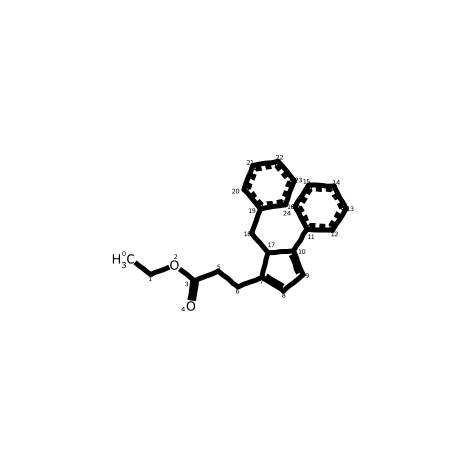 CCOC(=O)CCC1=CC=C(c2ccccc2)C1Cc1ccccc1